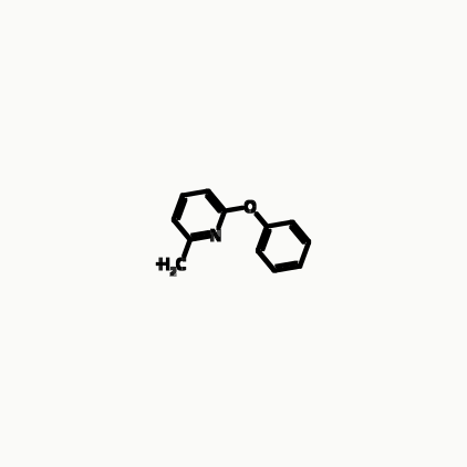 [CH2]c1cccc(Oc2ccccc2)n1